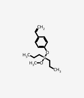 C=Cc1ccc(O[Si](CCC)(CCC)OC)cc1